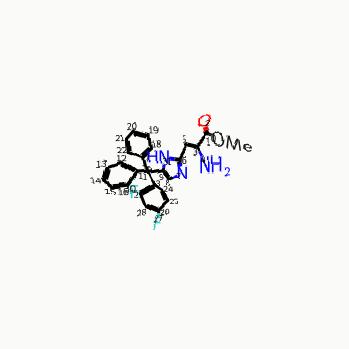 COC(=O)C(N)Cc1ncc(C(c2ccccc2)(c2ccccc2)c2ccc(F)cc2F)[nH]1